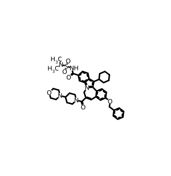 CN(C)S(=O)(=O)NC(=O)c1ccc2c(C3CCCCC3)c3n(c2c1)CC(C(=O)N1CCC(N2CCOCC2)CC1)=Cc1cc(OCc2ccccc2)ccc1-3